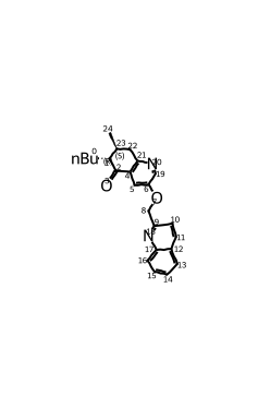 CCCC[C@H]1C(=O)c2cc(OCc3ccc4ccccc4n3)cnc2C[C@@H]1C